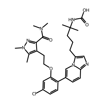 Cc1c(CCOc2cc(Cl)ccc2-c2ccc3ncc(CCCC(C)(C)NC(=O)O)n3c2)c(C(=O)N(C)C)nn1C